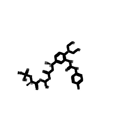 CC[C@@H](CC(=O)OC(OC(=O)[C@H](C)OP(=O)(O)O)C(C)C)c1ccc(N(CC(C)C)CC(C)C)c(NC(=O)Nc2ccc(C)cc2)c1